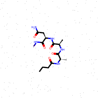 CCCC(=O)N[C@@H](C)C(=O)N[C@H](C)C(=O)N[C@H](CC(N)=O)C(=O)NI